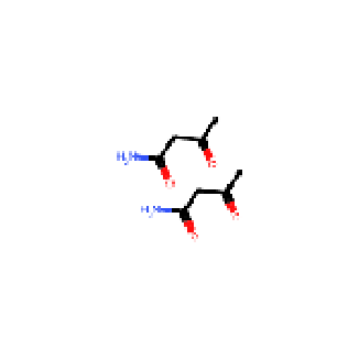 CC(=O)CC(N)=O.CC(=O)CC(N)=O